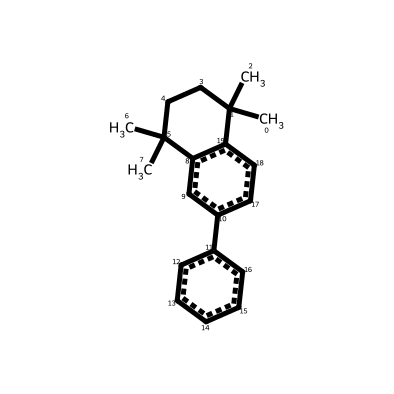 CC1(C)CCC(C)(C)c2cc(-c3ccccc3)ccc21